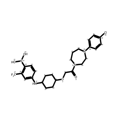 O=C(COC1CCC(Nc2ccc(N(O)O)c(C(F)(F)F)c2)CC1)N1CCCN(c2ccc(Cl)cc2)CC1